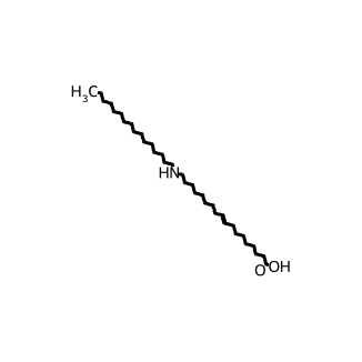 CCCCCCCCCCCCCCCCNCCCCCCCCC=CCCCCCCCC(=O)O